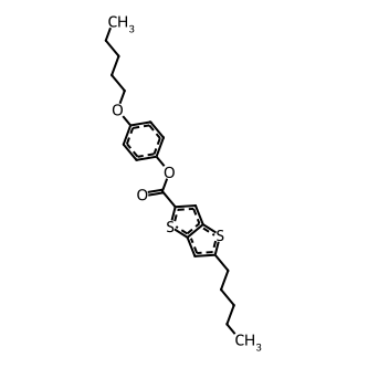 CCCCCOc1ccc(OC(=O)c2cc3sc(CCCCC)cc3s2)cc1